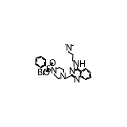 CN(C)CCCNc1nc(CN2CCN(S(=O)(=O)c3ccccc3Br)CC2)nc2ccccc12